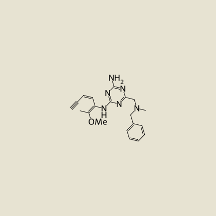 C#C/C=C\C(Nc1nc(N)nc(CN(C)Cc2ccccc2)n1)=C(/C)OC